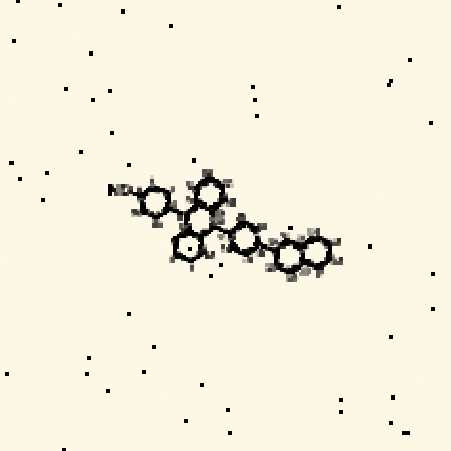 N#Cc1ccc(-c2c3ccccc3c(-c3ccc(-c4ccc5ccccc5c4)cc3)c3ccccc23)cc1